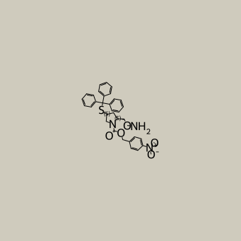 NOC[C@@H]1C[C@H](SC(c2ccccc2)(c2ccccc2)c2ccccc2)CN1C(=O)OCc1ccc([N+](=O)[O-])cc1